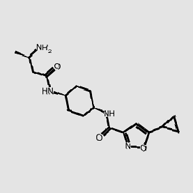 C[C@@H](N)CC(=O)N[C@H]1CC[C@@H](NC(=O)c2cc(C3CC3)on2)CC1